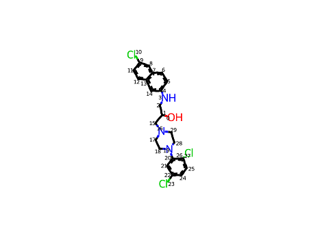 OC(CNc1ccc2cc(Cl)ccc2c1)CN1CCN(c2cc(Cl)ccc2Cl)CC1